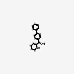 OC(c1ccc(-c2ccccc2)cc1)C1CCCCN1